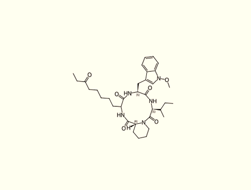 CCC(=O)CCCCCC1NC(=O)[C@H]2CCCCN2C(=O)[C@H](C(C)CC)NC(=O)[C@H](Cc2cn(OC)c3ccccc23)NC1=O